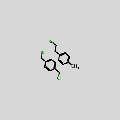 Cc1ccc(CCBr)cc1.ClCc1ccc(CBr)cc1